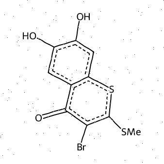 CSc1sc2cc(O)c(O)cc2c(=O)c1Br